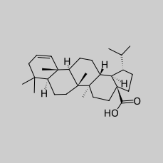 CC(C)[C@@H]1CC[C@]2(C(=O)O)CC[C@]3(C)[C@H](CC[C@@H]4[C@@]5(C)C=CCC(C)(C)[C@@H]5CC[C@]43C)[C@@H]12